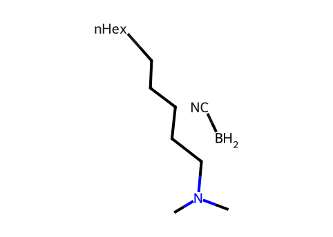 BC#N.CCCCCCCCCCCN(C)C